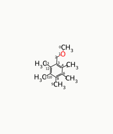 COCc1c(C)c(C)c(C)c(C)c1C